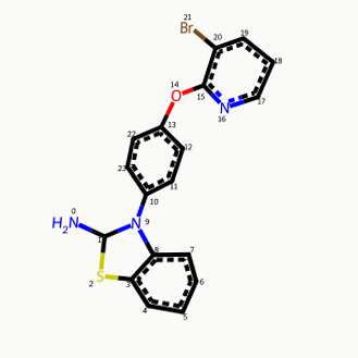 NC1Sc2ccccc2N1c1ccc(Oc2ncccc2Br)cc1